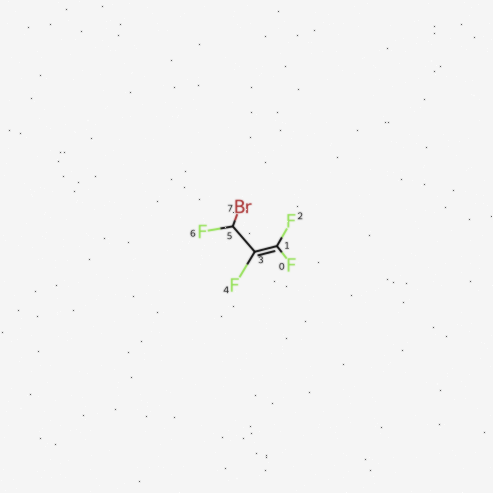 FC(F)=C(F)C(F)Br